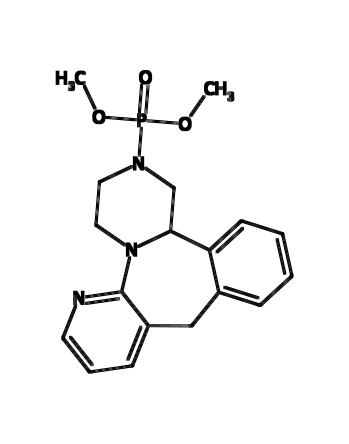 COP(=O)(OC)N1CCN2c3ncccc3Cc3ccccc3C2C1